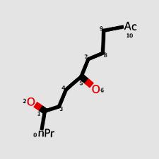 CCCC(=O)CCC(=O)CCCC(C)=O